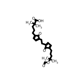 CC(C)(CCCC1=CC=C(CCC2=CC=C(CCCC(C)(C)C(=O)O)C2=O)C1=O)OC=O